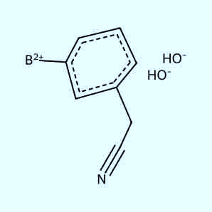 [B+2]c1cccc(CC#N)c1.[OH-].[OH-]